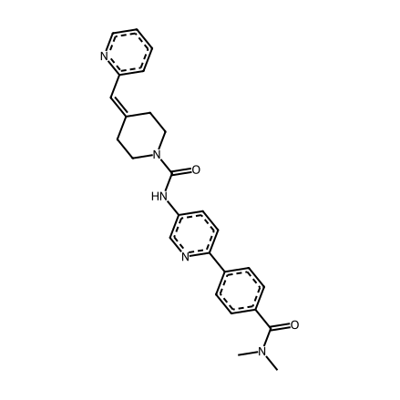 CN(C)C(=O)c1ccc(-c2ccc(NC(=O)N3CCC(=Cc4ccccn4)CC3)cn2)cc1